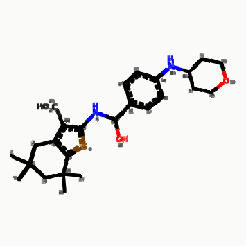 CC1(C)Cc2c(sc(NC(O)c3ccc(NC4CCOCC4)cc3)c2C(=O)O)C(C)(C)C1